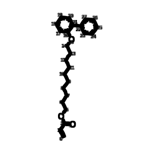 C=CC(=O)OCCCCCCCCCCOc1ccccc1-c1ccccc1